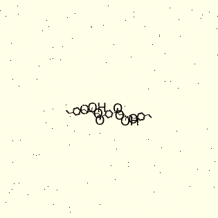 C=Cc1ccc(OCC(O)COC(=O)c2ccc(C(=O)OCC(O)COc3ccc(C=C)cc3)cc2)cc1